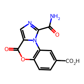 NC(=O)c1ncc2c(=O)oc3ccc(C(=O)O)cc3n12